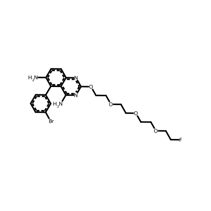 Nc1ccc2nc(OCCOCCOCCOCCF)nc(N)c2c1-c1cccc(Br)c1